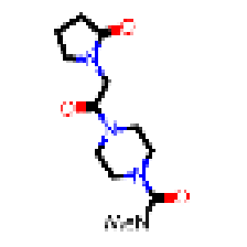 CNC(=O)N1CCN(C(=O)CN2CCCC2=O)CC1